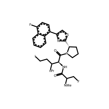 CCCC(CCI)[C@H](NC(=O)C(CF)NC)C(=O)N1CCC[C@H]1c1nc(-c2ccc(F)c3ccccc23)cs1